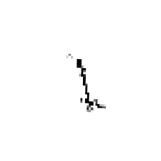 CCCCCCCCC=CCCCCCCCC(=O)C(CC)=NO